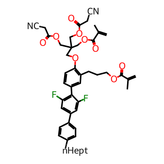 C=C(C)C(=O)OCCCc1cc(-c2c(F)cc(-c3ccc(CCCCCCC)cc3)cc2F)ccc1OCC(COC(=O)CC#N)(COC(=O)CC#N)COC(=O)C(=C)C